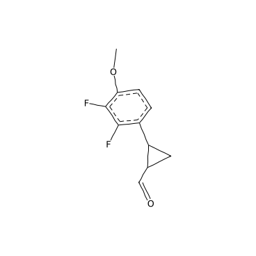 COc1ccc(C2CC2C=O)c(F)c1F